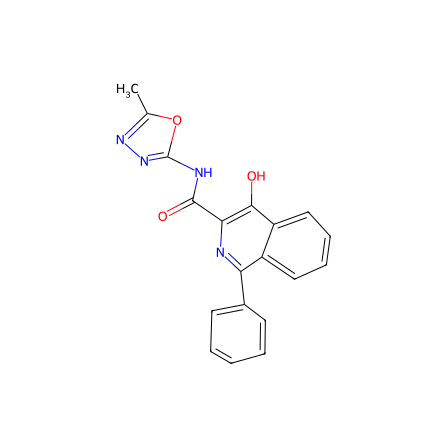 Cc1nnc(NC(=O)c2nc(-c3ccccc3)c3ccccc3c2O)o1